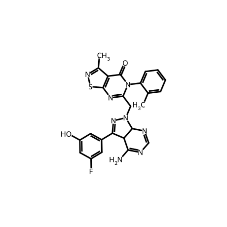 Cc1ccccc1-n1c(CN2N=C(c3cc(O)cc(F)c3)C3C(N)=NC=NC32)nc2snc(C)c2c1=O